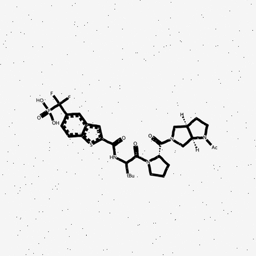 CC(=O)N1CC[C@@H]2CN(C(=O)[C@@H]3CCCN3C(=O)C(NC(=O)c3cc4cc(C(F)(F)P(=O)(O)O)ccc4s3)C(C)(C)C)C[C@@H]21